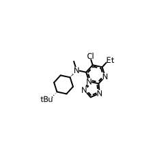 CCc1nc2ncnn2c(N(C)[C@H]2CC[C@@H](C(C)(C)C)CC2)c1Cl